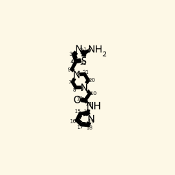 Nc1ncc(CN2CCN(CC(=O)Nc3ccccn3)CC2)s1